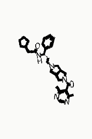 Cc1ncnc(C)c1C(=O)N1CC2CN(CC[C@H](NC(=O)CC3CCCC3)c3ccccc3)CC2C1